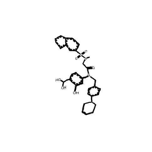 CN(CC(=O)N(Cc1ccc(C2CCCCC2)cc1)c1ccc(C(O)O)c(O)c1)S(=O)(=O)c1ccc2ccccc2c1